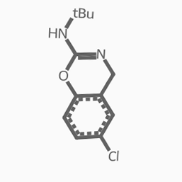 CC(C)(C)NC1=NCc2cc(Cl)ccc2O1